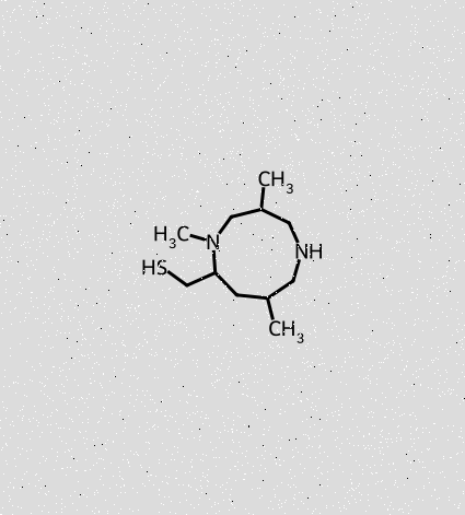 CC1CNCC(C)CN(C)C(CS)C1